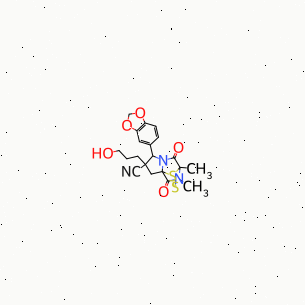 CN1C(=O)C23CC(C#N)(CCCO)C(c4ccc5c(c4)OCO5)N2C(=O)C1(C)S3=S